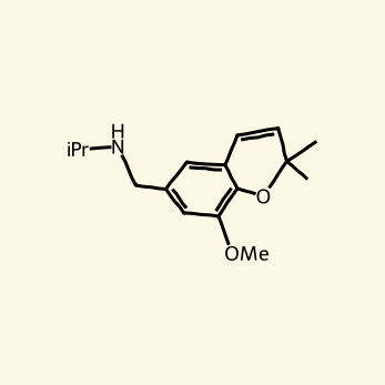 COc1cc(CNC(C)C)cc2c1OC(C)(C)C=C2